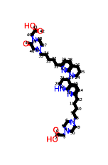 O=C(O)CN1CCN(CCCCCc2ccc3c(n2)NCCC3N2CCCc3ccc(CCCCCN4CCN(CC(=O)O)C(=O)C4)nc32)CC1